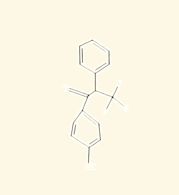 O=C(c1ccc(O)cc1)C(c1ccccc1)C(F)(F)F